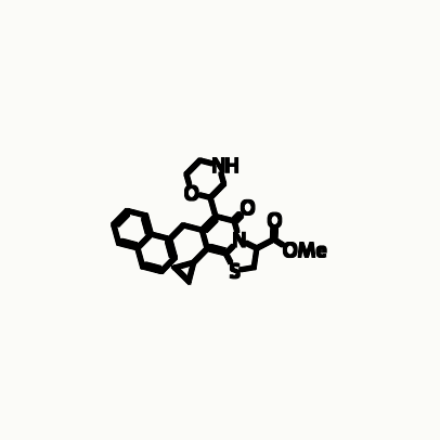 COC(=O)C1CSc2c(C3CC3)c(Cc3cccc4ccccc34)c(C3CNCCO3)c(=O)n21